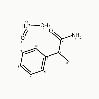 CC(C(N)=O)c1ccccc1.O=[PH2]O